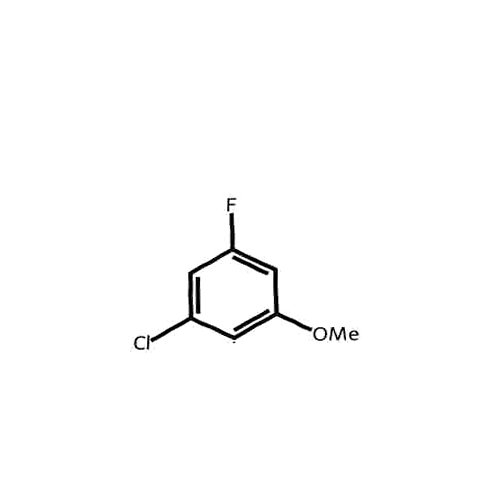 COc1[c]c(Cl)cc(F)c1